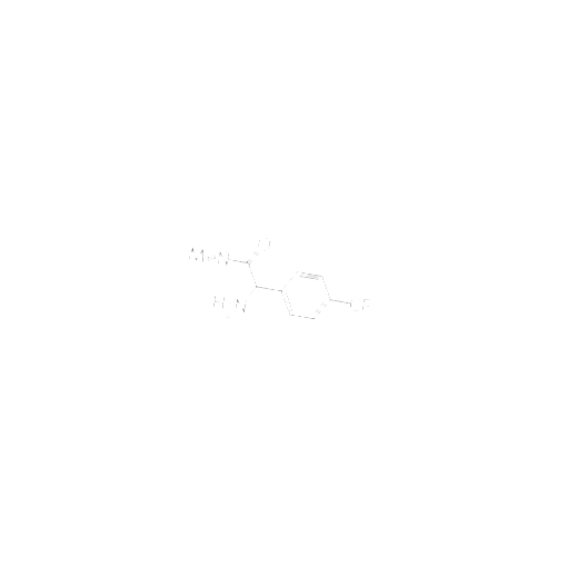 CNC(=O)C(N)c1ccc(C(F)(F)F)cc1